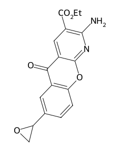 CCOC(=O)c1cc2c(=O)c3cc(C4CO4)ccc3oc2nc1N